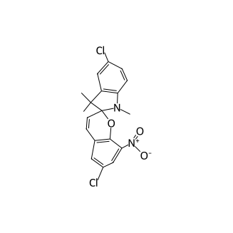 CN1c2ccc(Cl)cc2C(C)(C)C12C=Cc1cc(Cl)cc([N+](=O)[O-])c1O2